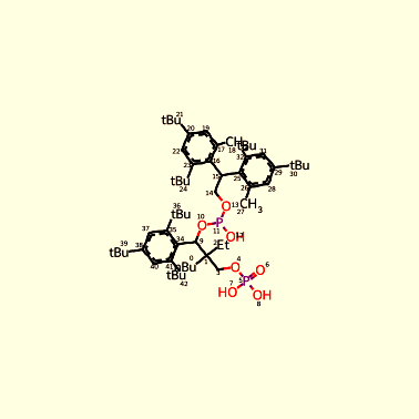 CCCCC(CC)(COP(=O)(O)O)C(OP(O)OCC(c1c(C)cc(C(C)(C)C)cc1C(C)(C)C)c1c(C)cc(C(C)(C)C)cc1C(C)(C)C)c1c(C(C)(C)C)cc(C(C)(C)C)cc1C(C)(C)C